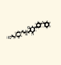 O=C1CC(c2ccc(Sc3ccccc3)cc2)CC(=O)C1=CNCCN1CCN(CCO)CC1